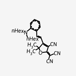 CCCCCCN(CCCCCC)c1ccccc1C=CC1=C(C#N)C(=C(C#N)C#N)OC1(C)C